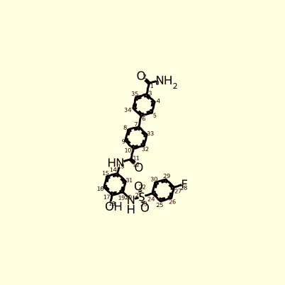 NC(=O)c1ccc(-c2ccc(C(=O)Nc3ccc(O)c(NS(=O)(=O)c4ccc(F)cc4)c3)cc2)cc1